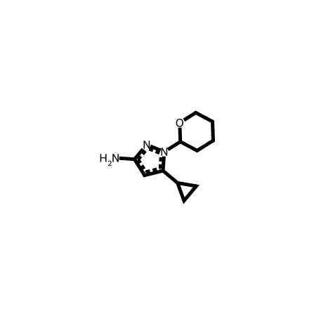 Nc1cc(C2CC2)n(C2CCCCO2)n1